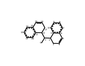 CC(C1CC=Cc2ccccc21)C1CC=Cc2ccccc21